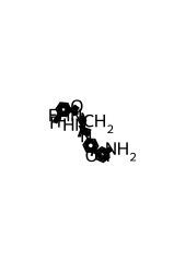 C=C(CNC(=O)c1cccc(C(F)(F)F)c1)NC1CN([C@H]2CC[C@@](O)(c3cccc(N)c3)CC2)C1